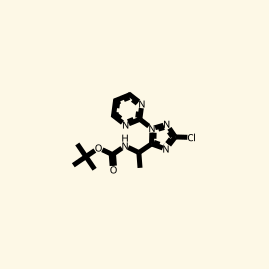 CC(NC(=O)OC(C)(C)C)c1nc(Cl)nn1-c1ncccn1